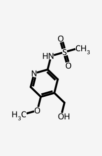 COc1cnc(NS(C)(=O)=O)cc1CO